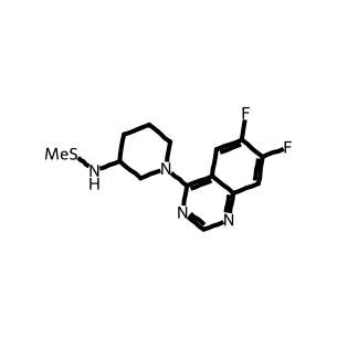 CSNC1CCCN(c2ncnc3cc(F)c(F)cc23)C1